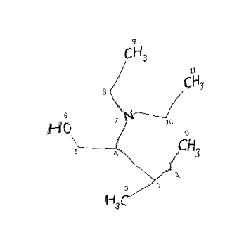 CCC(C)C(CO)N(CC)CC